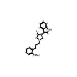 COc1ccccc1CCCN1CC(F)C(c2c[nH]c3ccccc23)C1